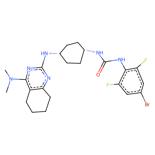 CN(C)c1nc(N[C@H]2CC[C@@H](NC(=O)Nc3c(F)cc(Br)cc3F)CC2)nc2c1CCCC2